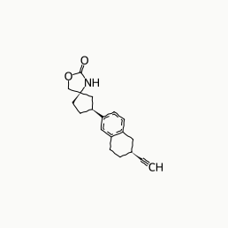 C#C[C@H]1CCc2cc([C@H]3CC[C@]4(COC(=O)N4)C3)ccc2C1